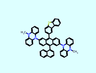 CN1c2ccccc2N(c2ccc3c(-c4cccc5ccccc45)c4cc(N5c6ccccc6N(C)c6ccccc65)ccc4c(-c4ccc5sc6ccccc6c5c4)c3c2)c2ccccc21